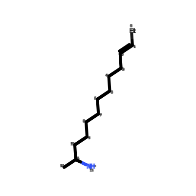 CCC=CCCCCCCCCC(C)[NH]